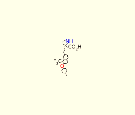 C[C@H]1CC[C@@H](Oc2ccc3ccc(CCC[C@]4(CC(=O)O)CCCNC4)cc3c2C(F)(F)F)CC1